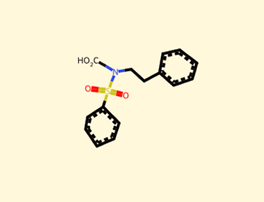 O=C(O)N(CCc1ccccc1)S(=O)(=O)c1ccccc1